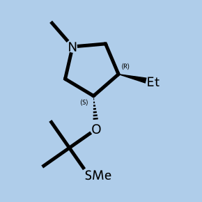 CC[C@@H]1CN(C)C[C@H]1OC(C)(C)SC